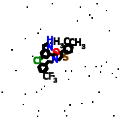 CC1(C)CCc2sc(CN(CCc3cccc(C(F)(F)F)c3)C(=O)c3cc(Cl)cc4cc[nH]c34)cc2C1